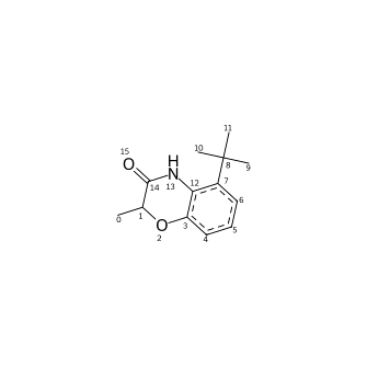 CC1Oc2cccc(C(C)(C)C)c2NC1=O